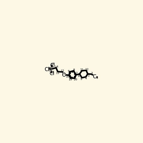 CCCC1CCC(c2ccc(OCCC[Si](Cl)(Cl)Cl)cc2)CC1